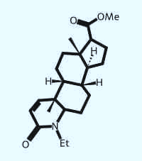 CCN1C(=O)C=C[C@@]2(C)C1CC[C@@H]1[C@H]2CC[C@]2(C)C(C(=O)OC)CC[C@@H]12